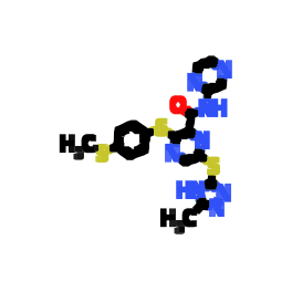 CSc1ccc(Sc2ncc(Sc3nnc(C)[nH]3)nc2C(=O)Nc2cnccn2)cc1